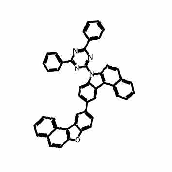 c1ccc(-c2nc(-c3ccccc3)nc(-n3c4ccc(-c5ccc6oc7ccc8ccccc8c7c6c5)cc4c4c5ccccc5ccc43)n2)cc1